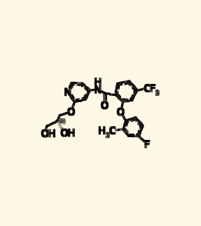 Cc1cc(F)ccc1Oc1cc(C(F)(F)F)ccc1C(=O)Nc1ccnc(OC[C@H](O)CO)c1